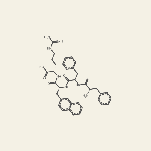 N=C(N)NCCC[C@H](NC(=O)[C@H](Cc1ccc2ccccc2c1)NC(=O)[C@@H](Cc1ccccc1)NC(=O)[C@@H](N)Cc1ccccc1)C(=O)O